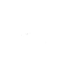 [CH2]CC[N+](C)(C)CCCCCCCCCCCCCC